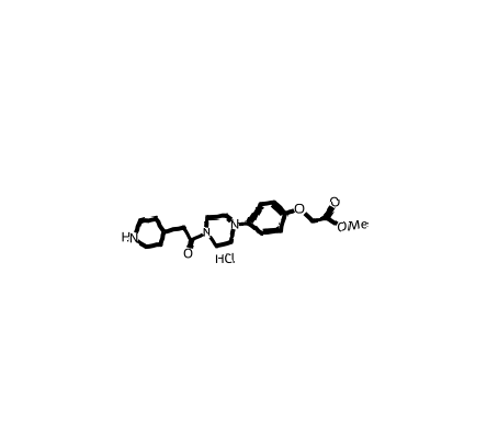 COC(=O)COc1ccc(N2CCN(C(=O)CC3CCNCC3)CC2)cc1.Cl